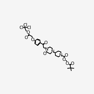 CC(C)(C)C(=O)OCOC(=O)N1CCC(N2CCN(CC(=O)c3ccc(OCC(=O)OCC(Cl)(Cl)Cl)cc3)C(=O)C2)CC1